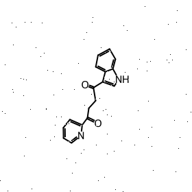 O=C(CCC(=O)c1c[nH]c2ccccc12)c1ccccn1